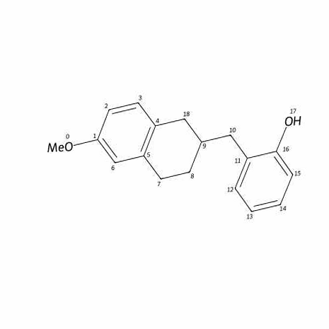 COc1ccc2c(c1)CCC(Cc1ccccc1O)C2